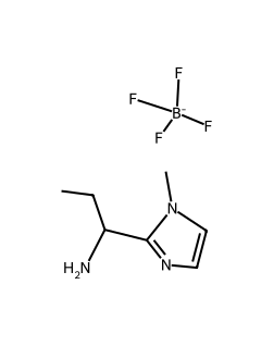 CCC(N)c1nccn1C.F[B-](F)(F)F